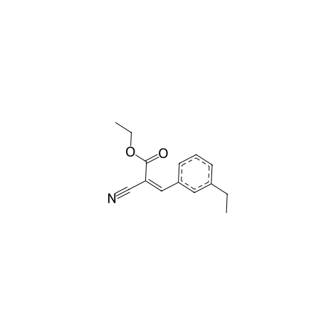 CCOC(=O)C(C#N)=Cc1cccc(CC)c1